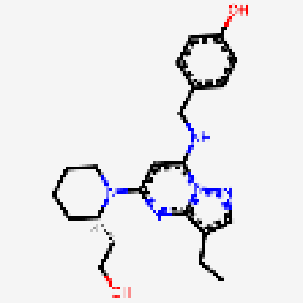 CCc1cnn2c(NCc3ccc(O)cc3)cc(N3CCCC[C@H]3CCO)nc12